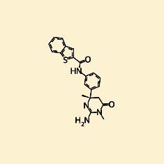 CN1C(=O)C[C@@](C)(c2cccc(NC(=O)c3cc4ccccc4s3)c2)N=C1N